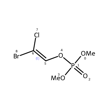 COP(=O)(OC)O/C=C(\Cl)Br